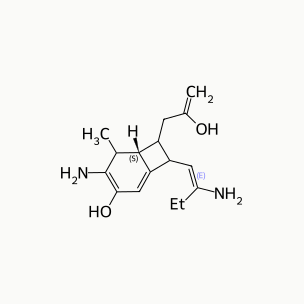 C=C(O)CC1C(/C=C(/N)CC)C2=CC(O)=C(N)C(C)[C@@H]21